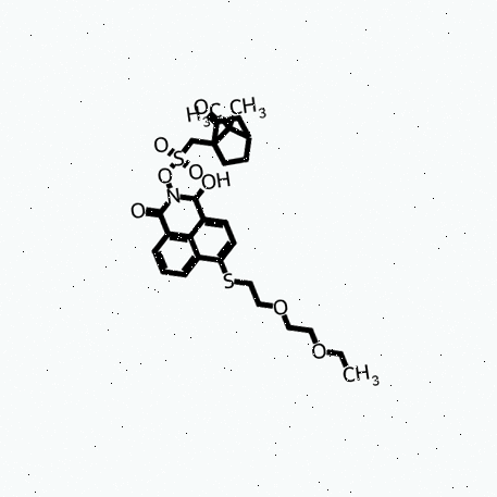 CCOCCOCCSc1ccc2c3c(cccc13)C(=O)N(OS(=O)(=O)CC13CCC(CC1=O)C3(C)C)C2O